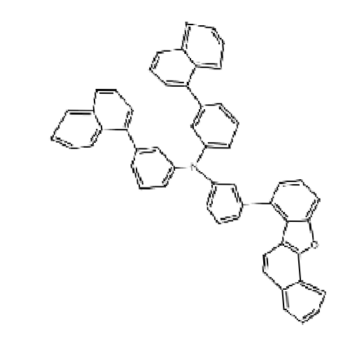 c1cc(-c2cccc3ccccc23)cc(N(c2cccc(-c3cccc4ccccc34)c2)c2cccc(-c3cccc4oc5c6ccccc6ccc5c34)c2)c1